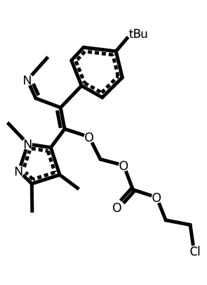 C/N=C\C(=C(\OCOC(=O)OCCCl)c1c(C)c(C)nn1C)c1ccc(C(C)(C)C)cc1